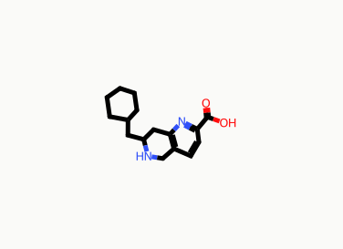 O=C(O)c1ccc2c(n1)CC(CC1CCCCC1)NC2